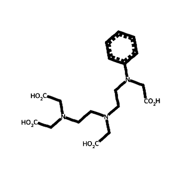 O=C(O)CN(CCN(CC(=O)O)CC(=O)O)CCN(CC(=O)O)c1ccccc1